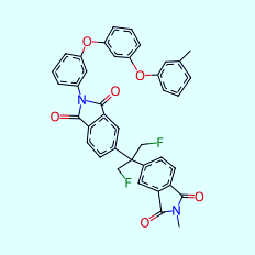 Cc1cccc(Oc2cccc(Oc3cccc(N4C(=O)c5ccc(C(CF)(CF)c6ccc7c(c6)C(=O)N(C)C7=O)cc5C4=O)c3)c2)c1